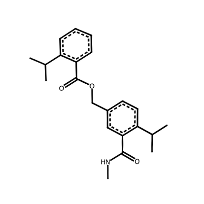 CNC(=O)c1cc(COC(=O)c2ccccc2C(C)C)ccc1C(C)C